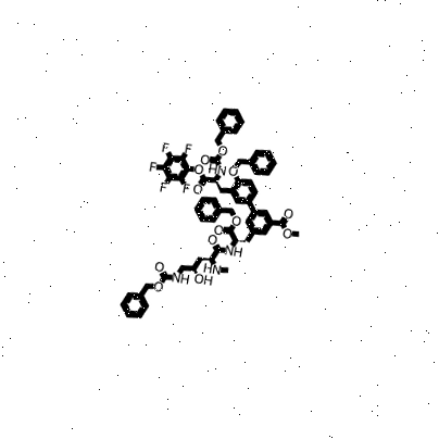 CN[C@@H](C[C@@H](O)CNC(=O)OCc1ccccc1)C(=O)N[C@@H](Cc1cc(C(=O)OC)cc(-c2ccc(OCc3ccccc3)c(C[C@H](NC(=O)OCc3ccccc3)C(=O)Oc3c(F)c(F)c(F)c(F)c3F)c2)c1)C(=O)OCc1ccccc1